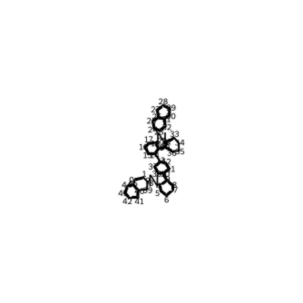 C1=CC(n2c3ccccc3c3ccc(-c4cccc5c4c4c(n5-c5ccc6ccccc6c5)=CCCC=4)cc32)Cc2ccccc21